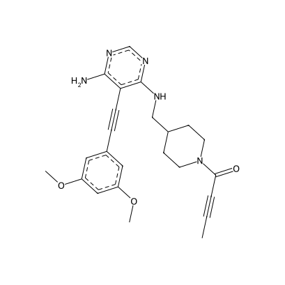 CC#CC(=O)N1CCC(CNc2ncnc(N)c2C#Cc2cc(OC)cc(OC)c2)CC1